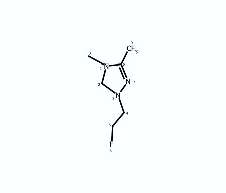 CN1[CH]N(CCF)N=C1C(F)(F)F